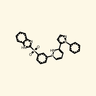 O=S(=O)(c1cccc(N2C=CC=C(c3ccnn3-c3ccccc3)N2)c1)c1nc2ccccc2[nH]1